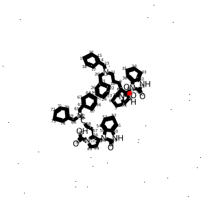 O=C(O)N1C2CCC1C(CCCN(Cc1ccccc1)Cc1ccccc1)C(n1c(=O)[nH]c3ccccc31)C2.O=C(O)N1CC[C@H](n2c(=O)[nH]c3ccccc32)[C@@H]1CCCN(Cc1ccccc1)Cc1ccccc1